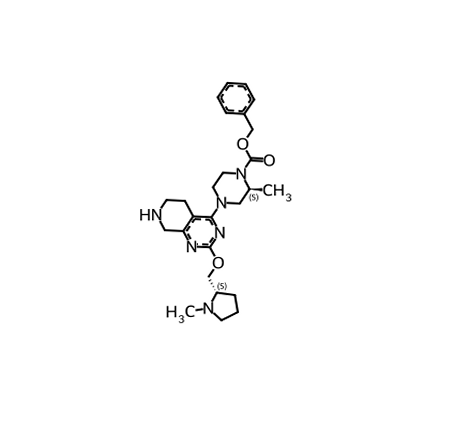 C[C@H]1CN(c2nc(OC[C@@H]3CCCN3C)nc3c2CCNC3)CCN1C(=O)OCc1ccccc1